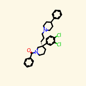 O=C(c1ccccc1)N1CCC[C@](CCCN2CCC(c3ccccc3)CC2)(c2ccc(Cl)c(Cl)c2)C1